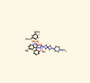 CCOc1ccccc1[C@@]1(NC(=O)N2CC3(C2)CN(C2CCN(C)CC2)C3)C(=O)N(S(=O)(=O)c2ccc(OC)cc2OC)c2ccc(C#N)cc21